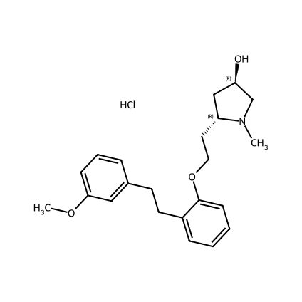 COc1cccc(CCc2ccccc2OCC[C@@H]2C[C@@H](O)CN2C)c1.Cl